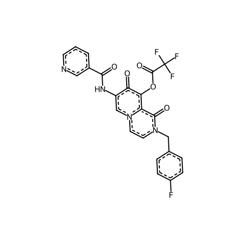 O=C(Nc1cn2ccn(Cc3ccc(F)cc3)c(=O)c2c(OC(=O)C(F)(F)F)c1=O)c1cccnc1